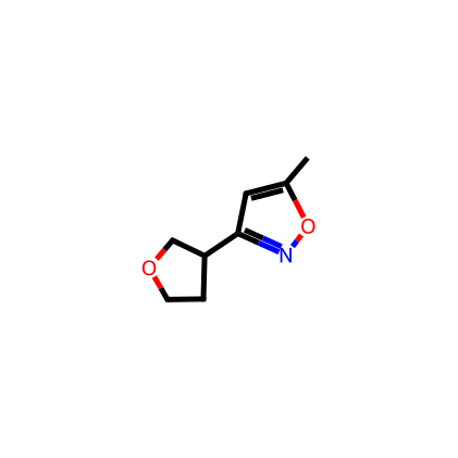 Cc1cc(C2CCOC2)no1